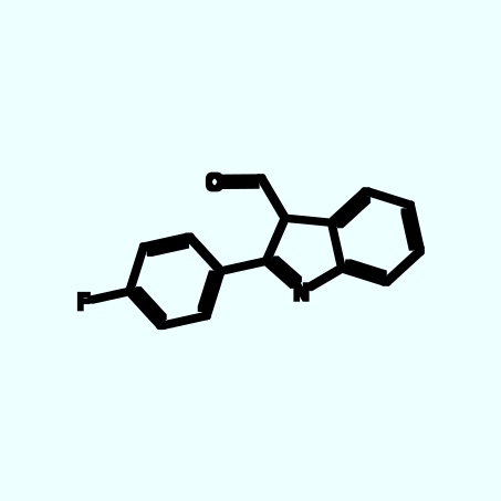 O=CC1C(c2ccc(F)cc2)=Nc2ccccc21